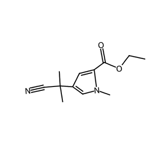 CCOC(=O)c1cc(C(C)(C)C#N)cn1C